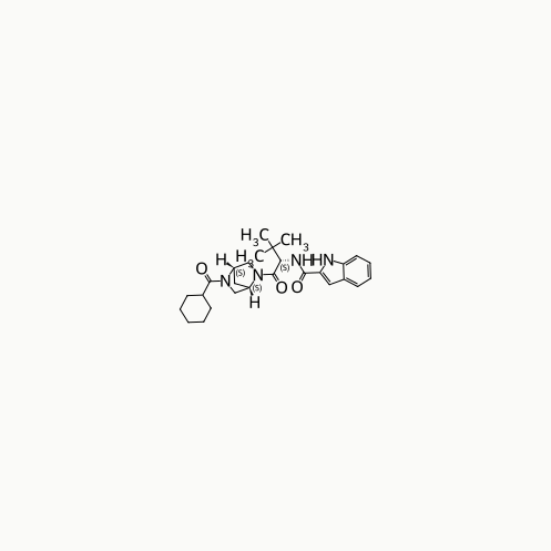 CC(C)(C)[C@H](NC(=O)c1cc2ccccc2[nH]1)C(=O)N1C[C@@H]2C[C@H]1CN2C(=O)C1CCCCC1